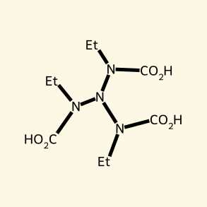 CCN(C(=O)O)N(N(CC)C(=O)O)N(CC)C(=O)O